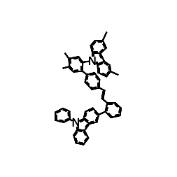 Cc1ccc2c(c1)c1cc(C)ccc1n2-c1cc(C)c(C)cc1-c1ccc(/C=C/c2ccccc2-c2ccc3c(c2)c2ccccc2n3-c2ccccc2)cc1